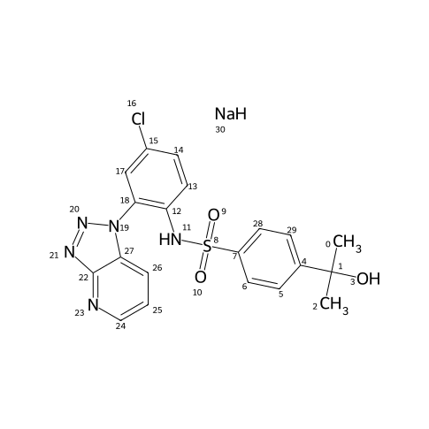 CC(C)(O)c1ccc(S(=O)(=O)Nc2ccc(Cl)cc2-n2nnc3ncccc32)cc1.[NaH]